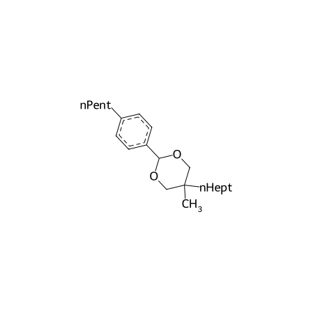 CCCCCCCC1(C)COC(c2ccc(CCCCC)cc2)OC1